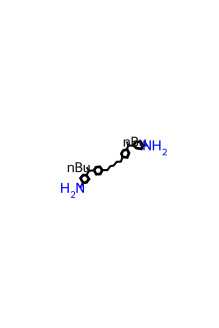 CCCCC(c1ccc(N)cc1)c1ccc(CCCCCc2ccc(C(CCCC)c3ccc(N)cc3)cc2)cc1